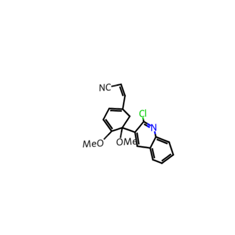 COC1=CC=C(/C=C\C#N)CC1(OC)c1cc2ccccc2nc1Cl